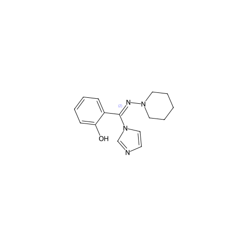 Oc1ccccc1/C(=N/N1CCCCC1)n1ccnc1